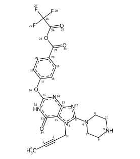 CC#CCn1c(N2CCNCC2)nc2nc(Oc3ccc(C(=O)OC(=O)C(F)(F)F)cc3)[nH]c(=O)c21